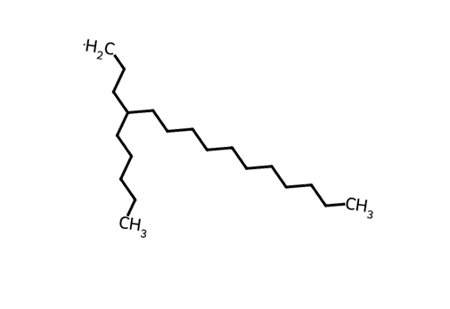 [CH2]CCC(CCCCC)CCCCCCCCCCC